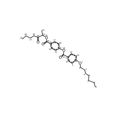 CCCCCCCOc1ccc(C(=O)Oc2ccc(C(=O)OC(C)C(=O)CCCC)cc2)cc1